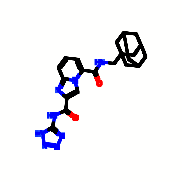 O=C(Nc1nnn[nH]1)c1cn2c(C(=O)NCC34CC5CC(CC(C5)C3)C4)cccc2n1